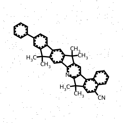 CC1(C)c2cc(-c3ccccc3)ccc2-c2cc3c(cc21)-c1nc2c(cc1C3(C)C)-c1c(cc(C#N)c3ccccc13)C2(C)C